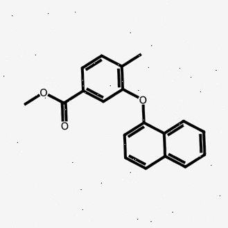 COC(=O)c1ccc(C)c(Oc2cccc3ccccc23)c1